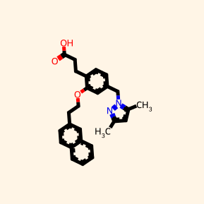 Cc1cc(C)n(Cc2ccc(CCC(=O)O)c(OCCc3ccc4ccccc4c3)c2)n1